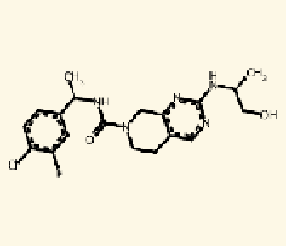 C[C@@H](CO)Nc1ncc2c(n1)CN(C(=O)N[C@H](C)c1ccc(Cl)c(F)c1)CC2